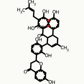 CC(C)=CCc1c(O)ccc(C(=O)C2C(c3c(O)ccc(C4CC(=O)c5ccc(O)cc5O4)c3O)C=C(C)CC2c2ccc(O)cc2O)c1O